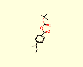 CCC(C)c1ccc(C(=O)OC(=O)OC(C)(C)C)cc1